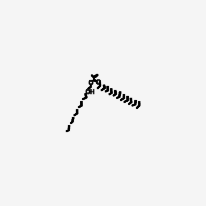 C=C(C)C(=O)OCCO.C=CC.C=CC.C=CC.C=CC.C=CC.C=CC.C=CC.C=CC.C=CC.C=CC.C=CC.C=CC.C=CC.C=CC.C=CC.C=CC